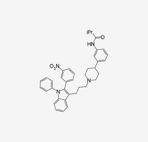 CC(C)C(=O)Nc1cccc(C2CCN(CCCc3c(-c4cccc([N+](=O)[O-])c4)n(-c4ccccc4)c4ccccc34)CC2)c1